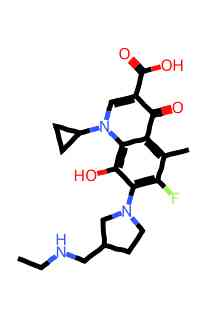 CCNCC1CCN(c2c(F)c(C)c3c(=O)c(C(=O)O)cn(C4CC4)c3c2O)C1